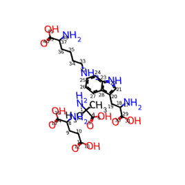 CC(C)(N)C(=O)O.NC(CCC(=O)O)C(=O)O.NC(Cc1c[nH]c2ccccc12)C(=O)O.NCCCCC(N)C(=O)O